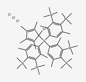 CC1=C(C)[C]([Ti+3])([Si](c2cc(C)c([Si](C)(C)C)c([Si](C)(C)C)c2C)(c2cc(C)c([Si](C)(C)C)c([Si](C)(C)C)c2C)c2cc(C)c([Si](C)(C)C)c([Si](C)(C)C)c2C)C(C)=C1C.[Cl-].[Cl-].[Cl-]